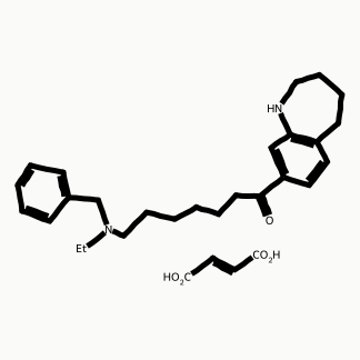 CCN(CCCCCCC(=O)c1ccc2c(c1)NCCCC2)Cc1ccccc1.O=C(O)C=CC(=O)O